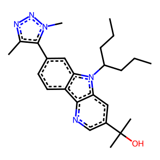 CCCC(CCC)n1c2cc(-c3c(C)nnn3C)ccc2c2ncc(C(C)(C)O)cc21